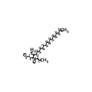 CC=CC(=O)C(CC[C]=O)C(C)CCCCCCCCCCCCCCCCC